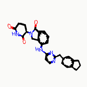 O=C1CCC(N2Cc3c(Nc4ccnc(Cc5ccc6c(c5)CCC6)n4)cccc3C2=O)C(=O)N1